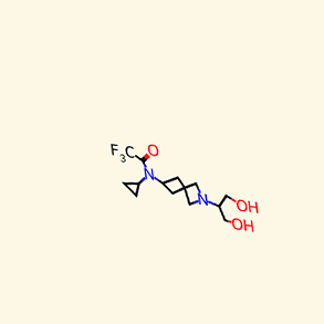 O=C(N(C1CC1)C1CC2(C1)CN(C(CO)CO)C2)C(F)(F)F